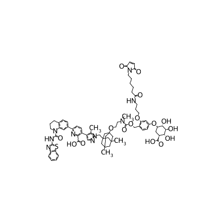 Cc1c(-c2ccc(-c3ccc4c(c3)N(C(=O)Nc3nc5ccccc5s3)CCC4)nc2C(=O)O)cnn1CC12CC3(C)CC(C)(C1)CC(OCCN(C)C(=O)OCc1ccc(O[C@@H]4C[C@H](C(=O)O)[C@@H](O)[C@H](O)[C@H]4O)cc1OCCCNC(=O)CCCCCN1C(=O)C=CC1=O)(C3)C2